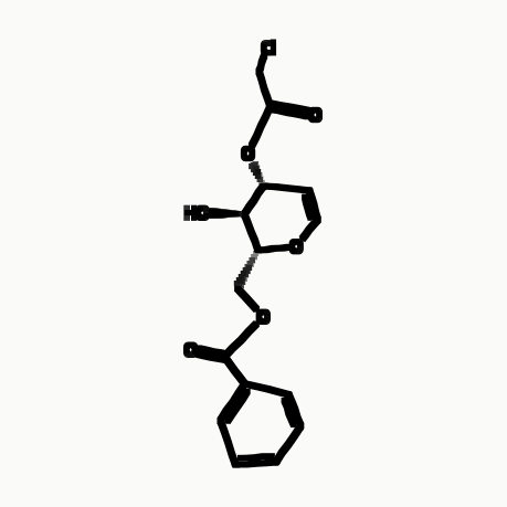 O=C(CCl)O[C@@H]1C=CO[C@H](COC(=O)c2ccccc2)[C@H]1O